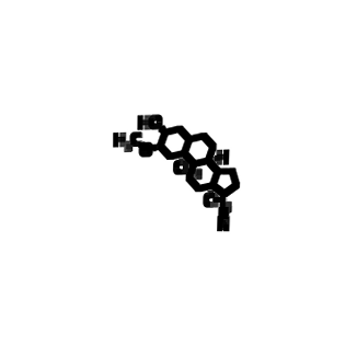 CO[C@@H]1C[C@@]2(C)C(CC[C@@H]3C2CC[C@@]2(C)C3CC[C@@H]2C#N)C[C@@H]1O